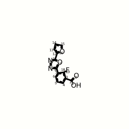 O=C(O)c1cccc(-c2nnc(-c3ccco3)o2)c1F